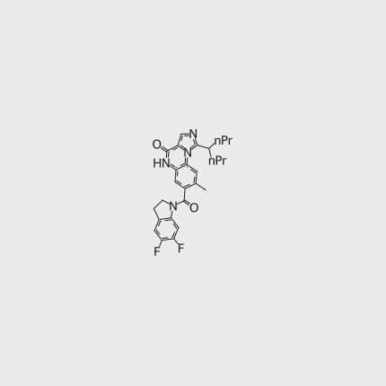 CCCC(CCC)c1ncc2c(=O)[nH]c3cc(C(=O)N4CCc5cc(F)c(F)cc54)c(C)cc3n12